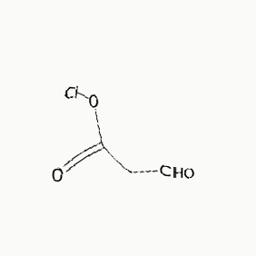 O=CCC(=O)OCl